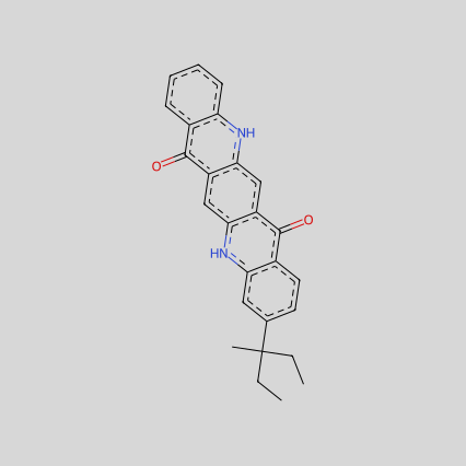 CCC(C)(CC)c1ccc2c(=O)c3cc4[nH]c5ccccc5c(=O)c4cc3[nH]c2c1